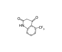 O=C1CC(=O)c2c(cccc2C(F)(F)F)N1